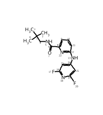 CC(C)(C)CNC(=O)c1cccc(Nc2cc(F)nc(F)c2)n1